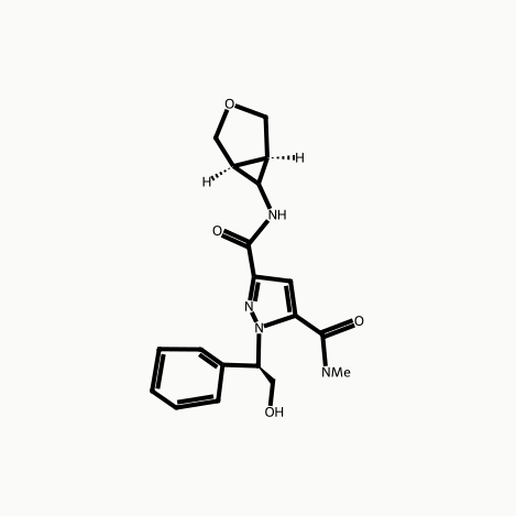 CNC(=O)c1cc(C(=O)NC2[C@H]3COC[C@@H]23)nn1[C@@H](CO)c1ccccc1